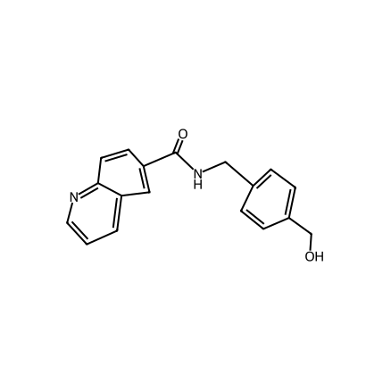 O=C(NCc1ccc(CO)cc1)c1ccc2ncccc2c1